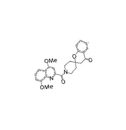 COc1cc(C(=O)N2CCC3(CC2)CC(=O)c2c[c]ccc2O3)nc2c(OC)cccc12